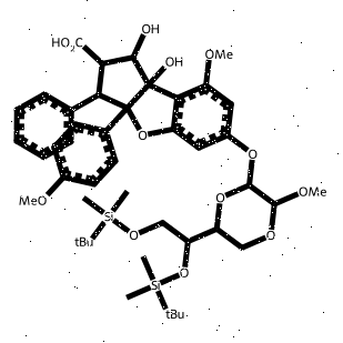 COc1ccc(C23Oc4cc(OC5OC(C(CO[Si](C)(C)C(C)(C)C)O[Si](C)(C)C(C)(C)C)COC5OC)cc(OC)c4C2(O)C(O)C(C(=O)O)C3c2ccccc2)cc1